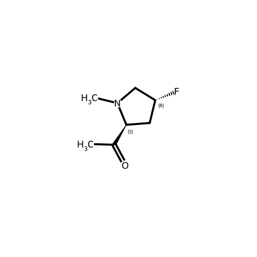 CC(=O)[C@@H]1C[C@@H](F)CN1C